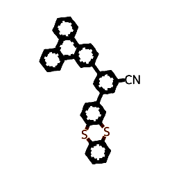 N#Cc1cc(-c2ccc3c(c2)Sc2ccccc2S3)cc(-c2ccc3c4ccccc4c4ccccc4c3c2)c1